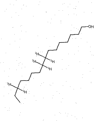 [2H]C([2H])(CC)CCCCC([2H])([2H])C([2H])([2H])CCCCCCCO